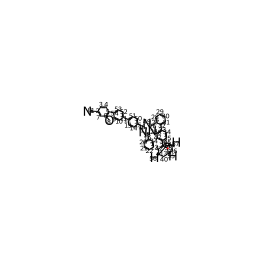 N#Cc1ccc2c(c1)oc1cc(-c3ccc(-c4nc(-c5ccccc5)nc(-c5ccccc5-c5ccc(C67C[C@H]8C[C@@H](C6)C[C@@H](C7)C8)cc5)n4)cc3)ccc12